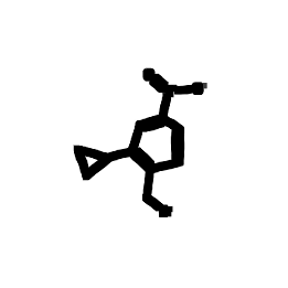 O=[N+]([O-])c1ccc(CBr)c(C2CC2)c1